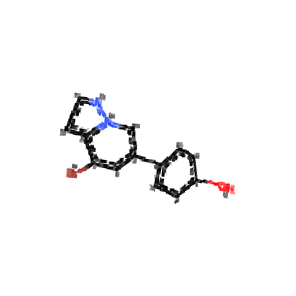 Oc1ccc(-c2cc(Br)c3ccnn3c2)cc1